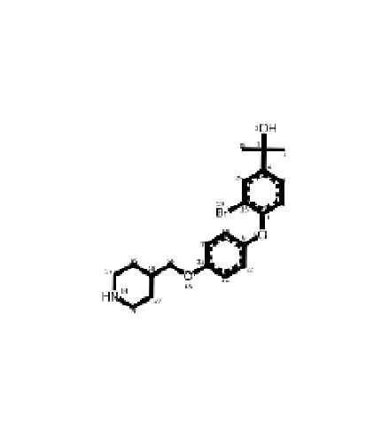 CC(C)(O)c1ccc(Oc2ccc(OCC3CCNCC3)cc2)c(Br)c1